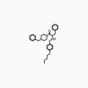 CCCCCc1ccc(CNC(Cc2ccccc2)C(=O)N2CCN(Cc3ccccc3)CC2)cc1